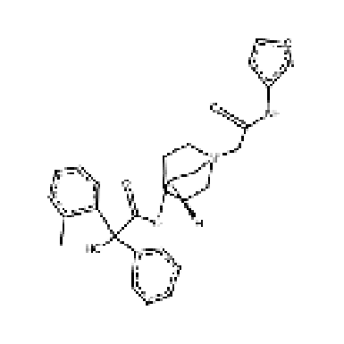 Cc1ccccc1C(O)(C(=O)O[C@H]1C[N+]2(CC(=O)Nc3ccon3)CCC1CC2)c1ccccc1